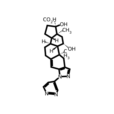 C[C@]12Cc3cnn(-c4ccnnc4)c3C=C1CC[C@@H]1[C@@H]2[C@@H](O)C[C@@]2(C)[C@H]1CC[C@]2(O)C(=O)O